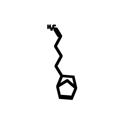 C=CCCCC1CC2C=CC1C2